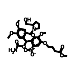 COC(=O)CCCOc1cc([N+](=O)[O-])c(C(OC(N)=O)c2cc(OC)c(OC)cc2C(=O)N2CCCC2CO)cc1OC